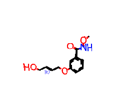 CONC(=O)c1cccc(OC/C=C/CO)c1